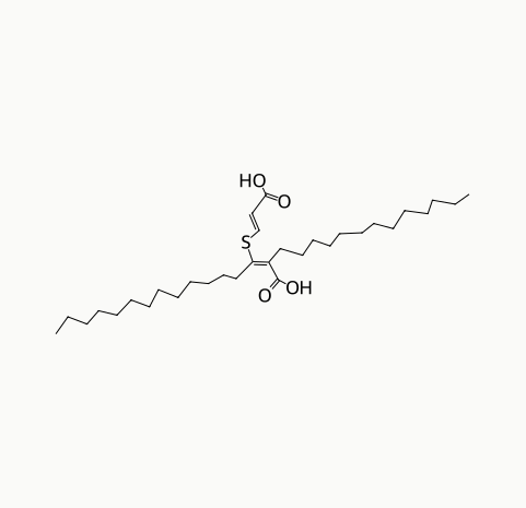 CCCCCCCCCCCCCC(SC=CC(=O)O)=C(CCCCCCCCCCCCC)C(=O)O